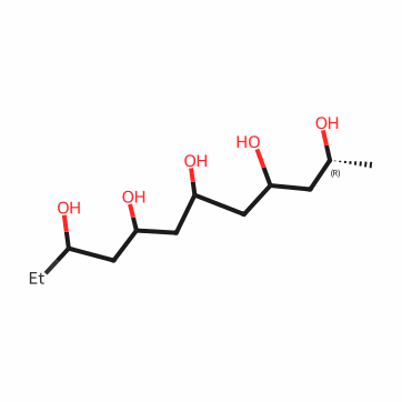 CCC(O)CC(O)CC(O)CC(O)C[C@@H](C)O